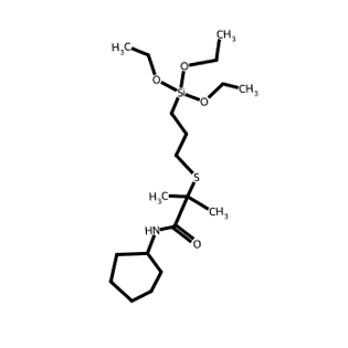 CCO[Si](CCCSC(C)(C)C(=O)NC1CCCCC1)(OCC)OCC